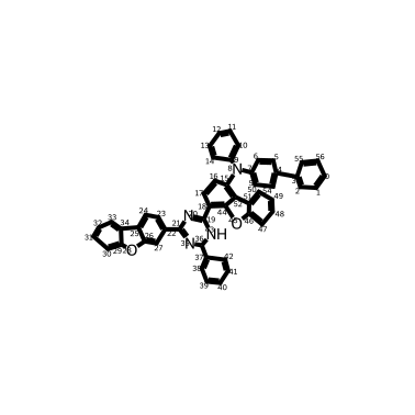 c1ccc(-c2ccc(N(c3ccccc3)c3ccc(C4=NC(c5ccc6c(c5)oc5ccccc56)=NC(c5ccccc5)N4)c4oc5ccccc5c34)cc2)cc1